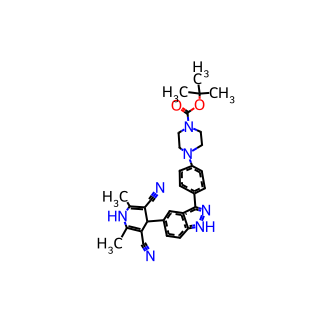 CC1=C(C#N)C(c2ccc3[nH]nc(-c4ccc(N5CCN(C(=O)OC(C)(C)C)CC5)cc4)c3c2)C(C#N)=C(C)N1